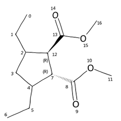 CCC1CC(CC)[C@@H](C(=O)OC)[C@@H]1C(=O)OC